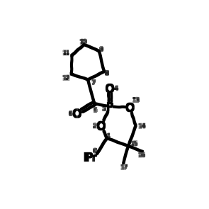 CC(C)C1OP(=O)(C(=O)C2CCCCC2)OCC1(C)C